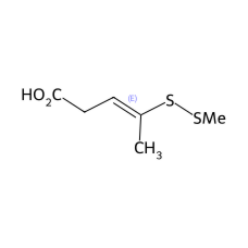 CSS/C(C)=C/CC(=O)O